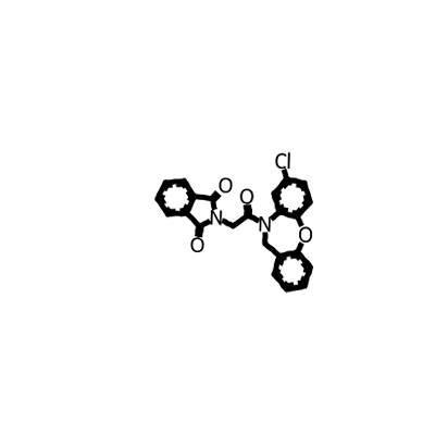 O=C1c2ccccc2C(=O)N1CC(=O)N1Cc2ccccc2Oc2ccc(Cl)cc21